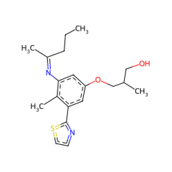 CCC/C(C)=N\c1cc(OCC(C)CO)cc(-c2nccs2)c1C